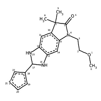 COCCN1C(=O)C(C)(C)c2cc3c(cc21)NC(c1ccsc1)N3